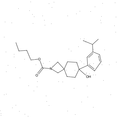 CCCCOC(=O)N1CC2(CCC(O)(c3cccc(C(C)C)c3)CC2)C1